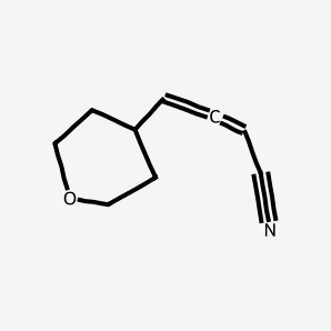 N#CC=C=CC1CCOCC1